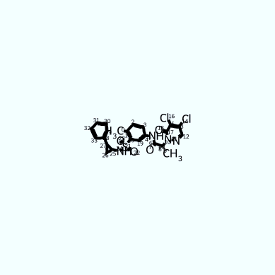 Cc1ccc(NC(=O)[C@@H](C)n2ncc(Cl)c(Cl)c2=O)cc1S(=O)(=O)NC1CC1c1ccccc1